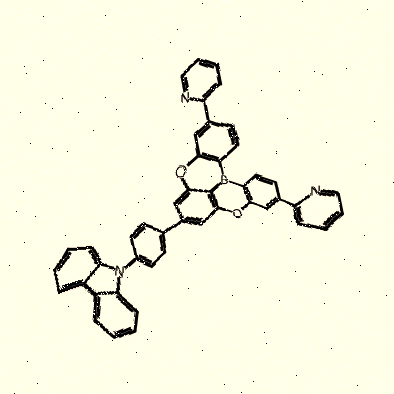 c1ccc(-c2ccc3c(c2)Oc2cc(-c4ccc(-n5c6ccccc6c6ccccc65)cc4)cc4c2B3c2ccc(-c3ccccn3)cc2O4)nc1